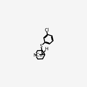 Clc1cccc(S[C@H]2CN3CCC2CC3)c1